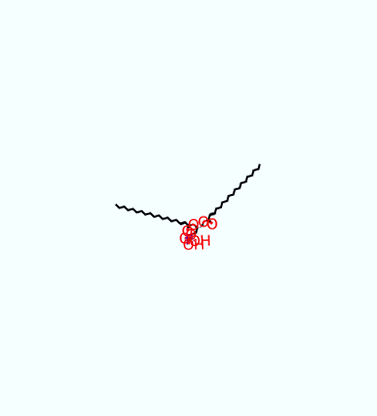 CCCCCCCCCCCCCCCC=CC(=O)OC[C@H](COP(=O)(O)O)OC(=O)C=CCCCCCCCCCCCCCCC